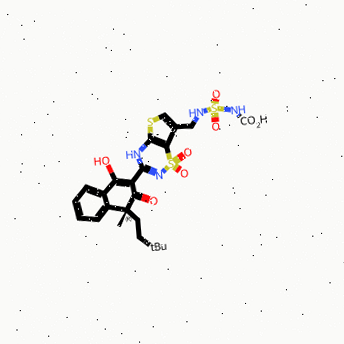 CC(C)(C)CC[C@@]1(C)C(=O)C(C2=NS(=O)(=O)c3c(CNS(=O)(=O)NC(=O)O)csc3N2)=C(O)c2ccccc21